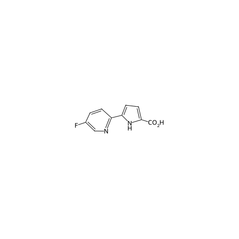 O=C(O)c1ccc(-c2ccc(F)cn2)[nH]1